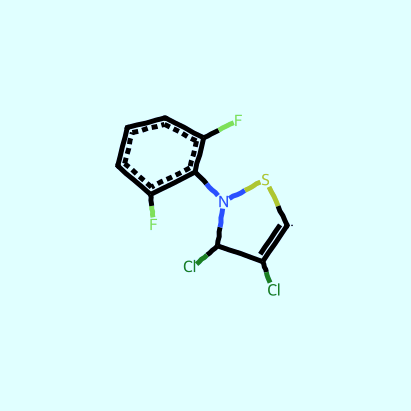 Fc1cccc(F)c1N1S[C]=C(Cl)C1Cl